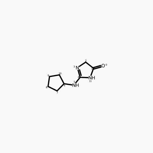 O=C1CN=C(NC2CCCC2)N1